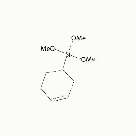 CO[Si](OC)(OC)C1CC=CCC1